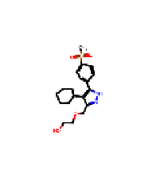 CS(=O)(=O)c1ccc(-c2[nH]nc(COCCO)c2C2CCCCC2)cc1